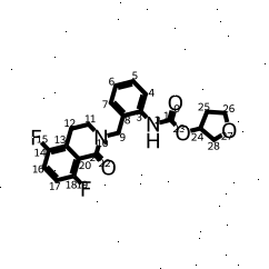 O=C(Nc1ccccc1CN1CCc2c(F)ccc(F)c2C1=O)OC1CCOC1